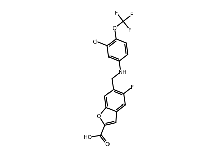 O=C(O)c1cc2cc(F)c(CNc3ccc(OC(F)(F)F)c(Cl)c3)cc2o1